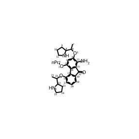 CCCOc1cc(OC(C)C2CCCN2)c(N)c2c1-c1c(OC(C)C3CCCN3)cccc1C2=O